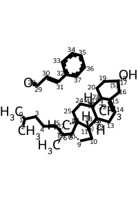 CC(C)CCC[C@@H](C)[C@H]1CC[C@H]2[C@@H]3CC=C4C[C@@H](O)CC[C@]4(C)[C@H]3CC[C@]12C.O=CC=Cc1ccccc1